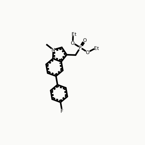 CCOP(=O)(Cc1cn(C)c2ccc(-c3ccc(F)cc3)cc12)OCC